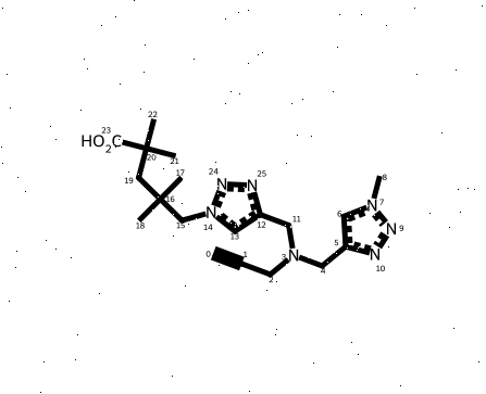 C#CCN(Cc1cn(C)nn1)Cc1cn(CC(C)(C)CC(C)(C)C(=O)O)nn1